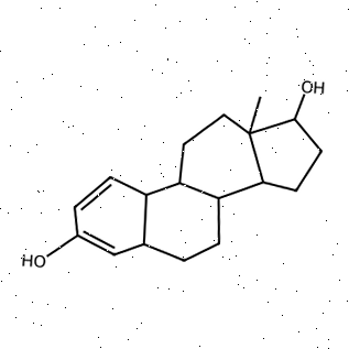 CC12CCC3C4C=CC(O)=CC4CCC3C1CCC2O